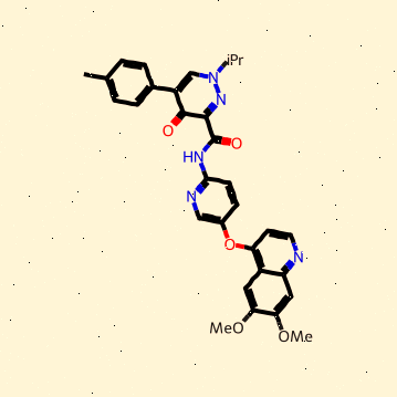 COc1cc2nccc(Oc3ccc(NC(=O)c4nn(C(C)C)cc(-c5ccc(C)cc5)c4=O)nc3)c2cc1OC